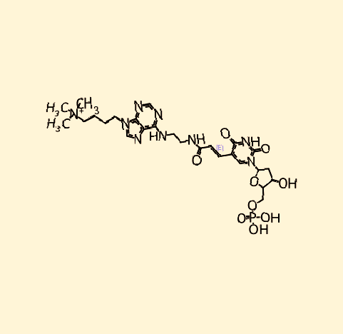 C[N+](C)(C)CCCCn1cnc2c(NCCNC(=O)/C=C/c3cn(C4CC(O)C(COP(=O)(O)O)O4)c(=O)[nH]c3=O)ncnc21